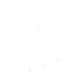 Cc1cnc(Nc2ccccc2)nc1Nc1ccc2c(c1)CCN(S(=O)(=O)C1CC1)C2